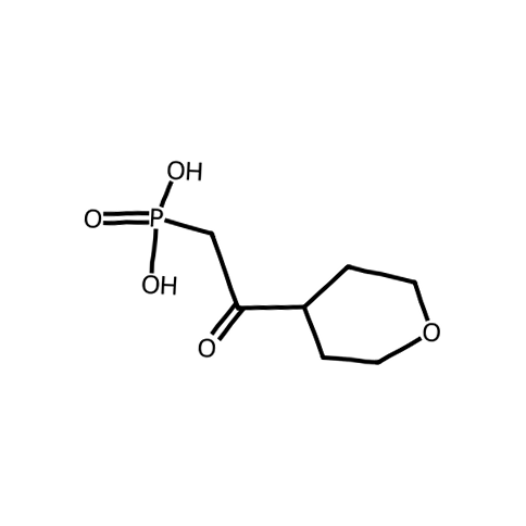 O=C(CP(=O)(O)O)C1CCOCC1